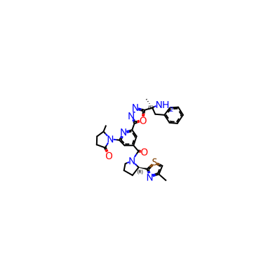 Cc1csc([C@H]2CCCN2C(=O)c2cc(-c3nnc([C@@](C)(N)Cc4ccccc4)o3)nc(N3C(=O)CCC3C)c2)n1